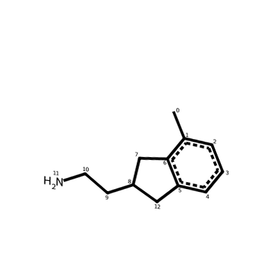 Cc1cccc2c1CC(CCN)C2